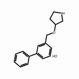 Cl.c1ccc(-c2cccc(COC3CCNC3)c2)cc1